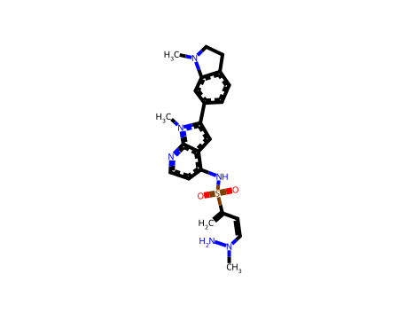 C=C(/C=C\N(C)N)S(=O)(=O)Nc1ccnc2c1cc(-c1ccc3c(c1)N(C)CC3)n2C